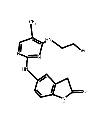 CC(C)CCNc1nc(Nc2ccc3c(c2)CC(=O)N3)ncc1C(F)(F)F